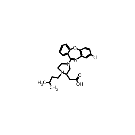 CC(C)CCN1CCN(C2=Nc3cc(Cl)ccc3Oc3ccccc32)CC1CC(=O)O